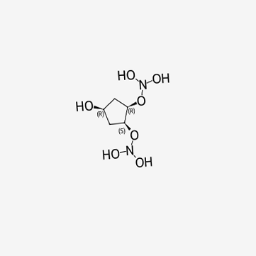 O[C@@H]1C[C@H](ON(O)O)[C@H](ON(O)O)C1